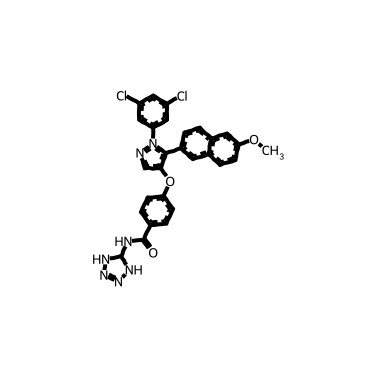 COc1ccc2cc(-c3c(Oc4ccc(C(=O)NC5NN=NN5)cc4)cnn3-c3cc(Cl)cc(Cl)c3)ccc2c1